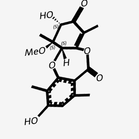 CO[C@@]1(C)[C@H](O)C(=O)C(C)=C2OC(=O)c3c(C)cc(O)c(C)c3O[C@@H]21